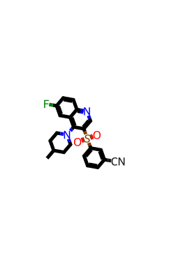 CC1CCN(c2c(S(=O)(=O)c3cccc(C#N)c3)cnc3ccc(F)cc23)CC1